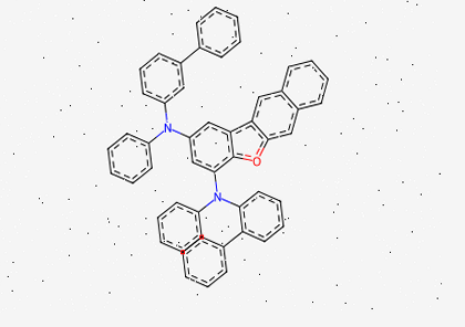 c1ccc(-c2cccc(N(c3ccccc3)c3cc(N(c4ccccc4)c4ccccc4-c4ccccc4)c4oc5cc6ccccc6cc5c4c3)c2)cc1